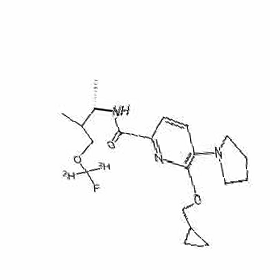 [2H]C([2H])(F)OCC(C)[C@H](C)NC(=O)c1ccc(N2CCCC2)c(OCC2CC2)n1